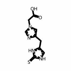 O=C(O)Cn1cnc(Cc2c[nH]c(=S)[nH]2)c1